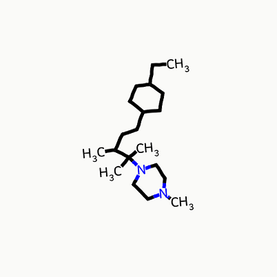 CCC1CCC(CCC(C)C(C)(C)N2CCN(C)CC2)CC1